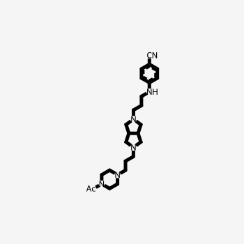 CC(=O)N1CCN(CCCN2CC3CN(CCCNc4ccc(C#N)cc4)CC3C2)CC1